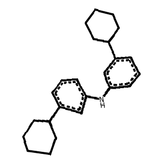 c1cc(Nc2cccc(C3CCCCC3)c2)cc(C2CCCCC2)c1